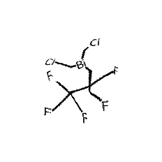 FC(F)(F)[C](F)(F)[Bi]([Cl])[Cl]